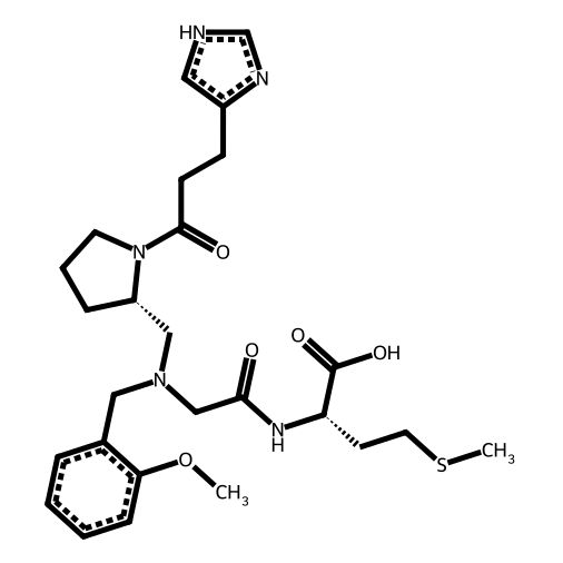 COc1ccccc1CN(CC(=O)N[C@@H](CCSC)C(=O)O)C[C@@H]1CCCN1C(=O)CCc1c[nH]cn1